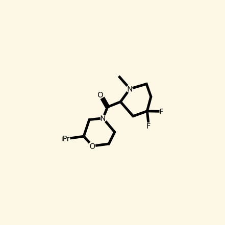 CC(C)C1CN(C(=O)C2CC(F)(F)CCN2C)CCO1